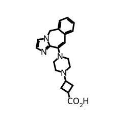 O=C(O)C1CC(N2CCN(C3=Cc4ccccc4Cn4ccnc43)CC2)C1